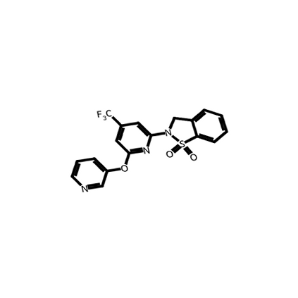 O=S1(=O)c2ccccc2CN1c1cc(C(F)(F)F)cc(Oc2cccnc2)n1